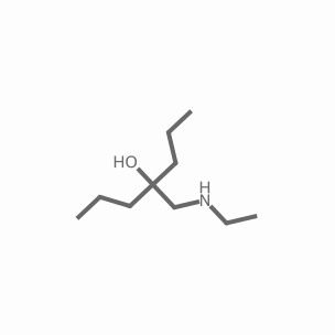 CCCC(O)(CCC)CNCC